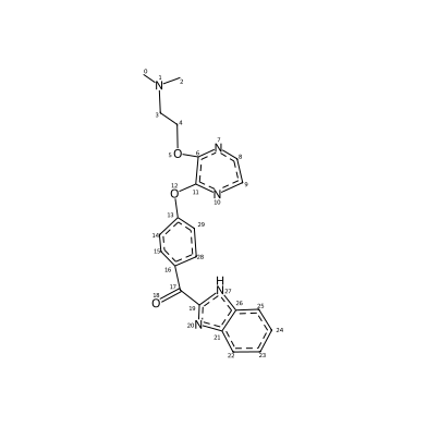 CN(C)CCOc1nccnc1Oc1ccc(C(=O)c2nc3ccccc3[nH]2)cc1